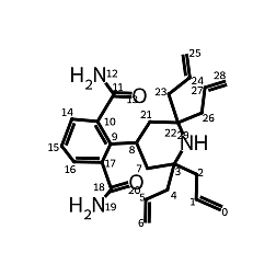 C=CCC1(CC=C)CC(c2c(C(N)=O)cccc2C(N)=O)CC(CC=C)(CC=C)N1